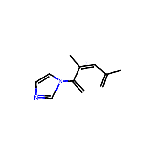 C=C(C)/C=C(/C)C(=C)n1ccnc1